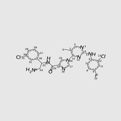 Cc1cnc(Nc2ccc(F)cc2Cl)nc1-n1cnc(C(=O)NC(CN)c2cccc(Cl)c2)c1